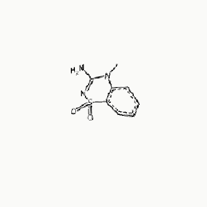 CN1C(N)=NS(=O)(=O)c2ccccc21